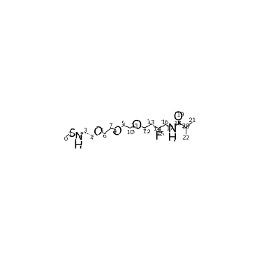 CSNCCOCCOCCOCCC(F)CNC(=O)C(C)C